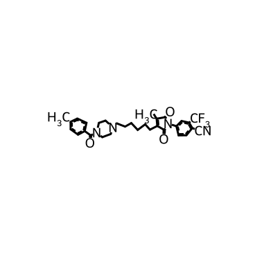 CC1=C(CCCCCCN2CCN(C(=O)c3ccc(C)cc3)CC2)C(=O)N(c2ccc(C#N)c(C(F)(F)F)c2)C1=O